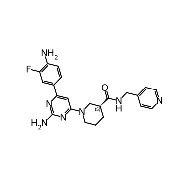 Nc1nc(-c2ccc(N)c(F)c2)cc(N2CCC[C@H](C(=O)NCc3ccncc3)C2)n1